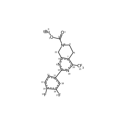 CC(C)(C)OC(=O)N1CCc2c(nc(-c3ccc(F)c(F)c3)nc2C(F)(F)F)C1